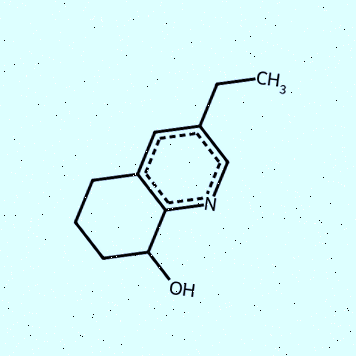 CCc1cnc2c(c1)CCCC2O